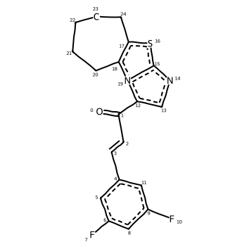 O=C(C=Cc1cc(F)cc(F)c1)c1cnc2sc3c(n12)CCCCC3